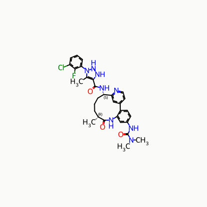 CC1=C(C(=O)N[C@H]2CCC[C@@H](C)C(=O)Nc3cc(NC(=O)N(C)C)ccc3-c3ccnc2c3)NNN1c1cccc(Cl)c1F